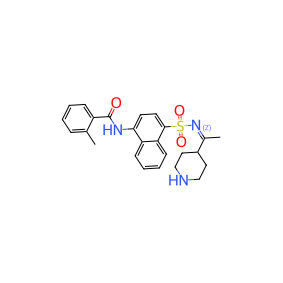 C/C(=N/S(=O)(=O)c1ccc(NC(=O)c2ccccc2C)c2ccccc12)C1CCNCC1